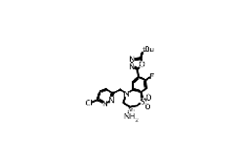 CC(C)(C)c1nnc(-c2cc3c(cc2F)S(=O)(=O)C[C@H](N)CN3Cc2ccc(Cl)nn2)o1